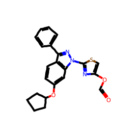 O=COc1csc(-n2nc(-c3ccccc3)c3ccc(OC4CCCC4)cc32)n1